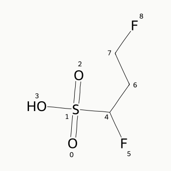 O=S(=O)(O)C(F)CCF